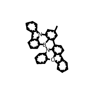 Cc1cc2c3c(c1)-n1c4ccccc4c4cccc(c41)B3N(c1ccccc1C)c1c-2ccc2c1oc1ccccc12